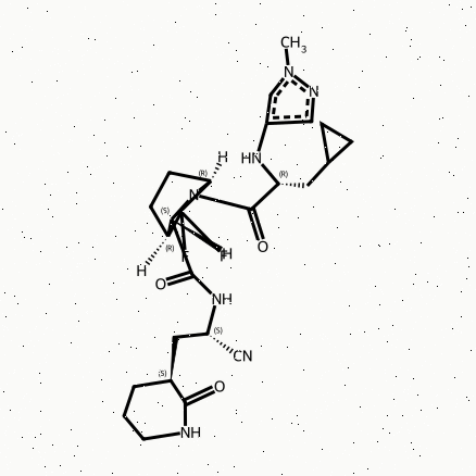 Cn1cc(N[C@H](CC2CC2)C(=O)N2[C@@H]3CC[C@H]([C@H]2C(=O)N[C@H](C#N)C[C@@H]2CCCNC2=O)C(F)(F)C3)cn1